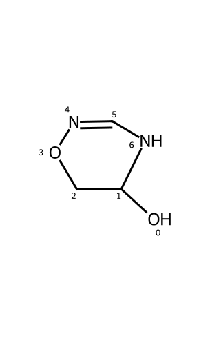 OC1CON=CN1